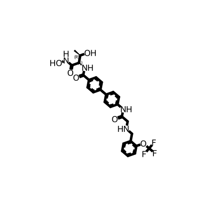 C[C@@H](O)[C@H](NC(=O)c1ccc(-c2ccc(NC(=O)CNCc3ccccc3OC(F)(F)F)cc2)cc1)C(=O)NO